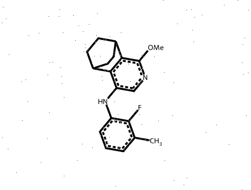 COc1ncc(Nc2cccc(C)c2F)c2c1C1CCC2CC1